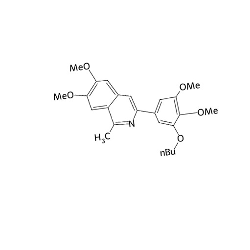 CCCCOc1cc(-c2cc3cc(OC)c(OC)cc3c(C)n2)cc(OC)c1OC